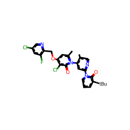 Cc1cnc(-n2cccc(C(C)(C)C)c2=O)cc1-n1c(C)cc(OCc2ncc(Cl)cc2F)c(Cl)c1=O